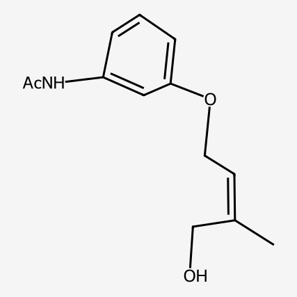 CC(=O)Nc1cccc(OCC=C(C)CO)c1